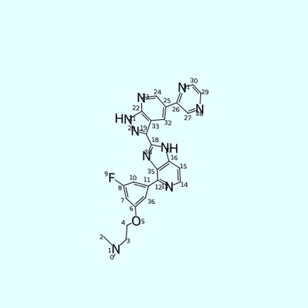 CN(C)CCOc1cc(F)cc(-c2nccc3[nH]c(-c4n[nH]c5ncc(-c6cnccn6)cc45)nc23)c1